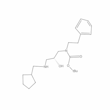 CC(C)(C)OC(=O)N(CCc1ccccc1)C[C@H](O)CNCC1CCCC1